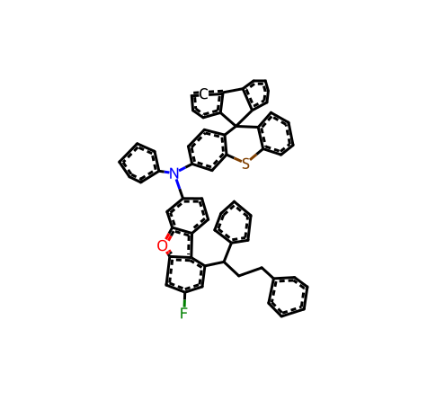 Fc1cc(C(CCc2ccccc2)c2ccccc2)c2c(c1)oc1cc(N(c3ccccc3)c3ccc4c(c3)Sc3ccccc3C43c4ccccc4-c4ccccc43)ccc12